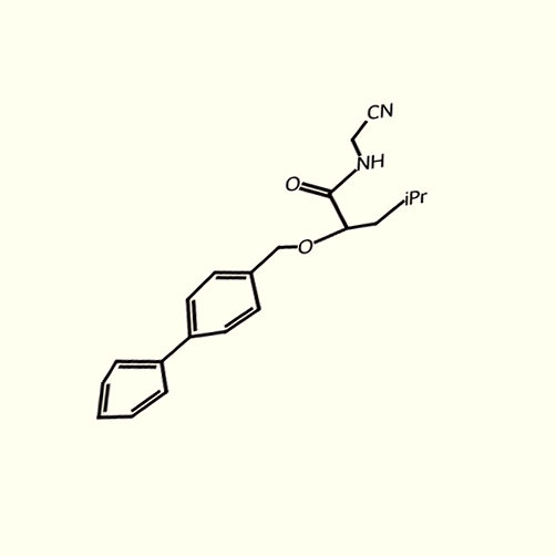 CC(C)CC(OCc1ccc(-c2ccccc2)cc1)C(=O)NCC#N